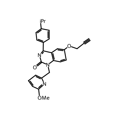 C#CCOc1ccc2c(c1)c(-c1ccc(C(C)C)cc1)nc(=O)n2Cc1cccc(OC)n1